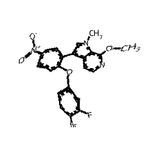 COc1nccc2c(-c3cc([N+](=O)[O-])ccc3Oc3ccc(Br)c(F)c3)cn(C)c12